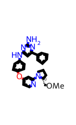 COC[C@H]1CCCN1c1cc(Oc2ccc(Nc3cc(-c4ccccc4)nc(N)n3)cc2)ccn1